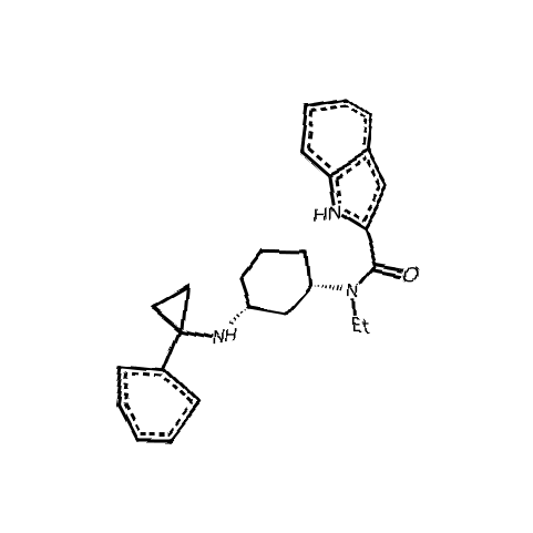 CCN(C(=O)c1cc2ccccc2[nH]1)[C@H]1CCC[C@@H](NC2(c3ccccc3)CC2)C1